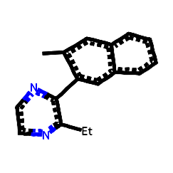 CCc1nccnc1-c1cc2ccccc2cc1C